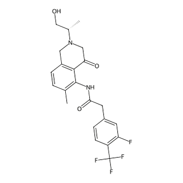 Cc1ccc2c(c1NC(=O)Cc1ccc(C(F)(F)F)c(F)c1)C(=O)CN([C@@H](C)CO)C2